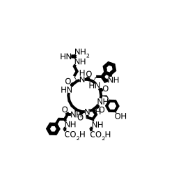 N=C(N)NCCC[C@@H]1NC(=O)[C@H](Cc2c[nH]c3ccccc23)NC(=O)[C@@H](C[C@H]2CC[C@@H](O)CC2)NC(=O)[C@@H]2C[C@@H](NCC(=O)O)CN2C(=O)[C@@H](NC(=O)C(Cc2ccccc2)NCC(=O)O)CCCNC1=O